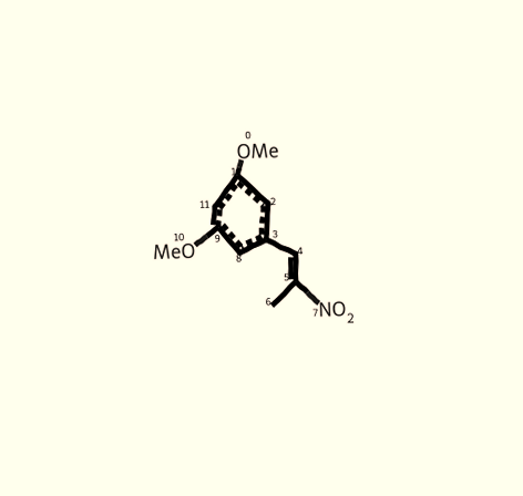 COc1cc(C=C(C)[N+](=O)[O-])cc(OC)c1